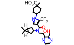 Cc1nccnc1C(O)CN(C(=O)c1cnn(C2CCC(C)(C(=O)O)CC2)c1C(F)(F)F)[C@H]1C[C@@H]2[C@H](C1)C2(C)C